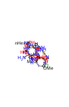 CCCCCCNC(=O)[C@@H](NC(=O)[C@@H]1CSSC[C@H](NC(=O)[C@@H](Cc2ccccc2)NC(=O)NCCSSCCC(=O)N(C)[C@@H](C)C(=O)O[C@H]2CC(=O)N(C)c3cc(cc(OC)c3Cl)C/C(C)=C/C=C/[C@@H](OC)[C@@]3(O)C[C@H](OC(=O)N3)[C@@H](C)C3O[C@]32C)C(=O)N[C@@H](Cc2ccc(O)cc2)C(=O)N[C@H](Cc2c[nH]c3ccccc23)C(=O)N[C@@H](CCCCN)C(=O)N[C@@H]([C@@H](C)O)C(=O)N1)[C@@H](C)O